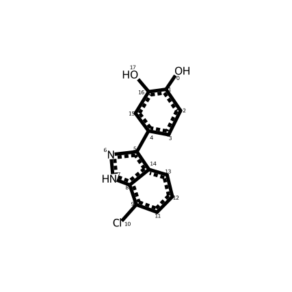 Oc1ccc(-c2n[nH]c3c(Cl)cccc23)cc1O